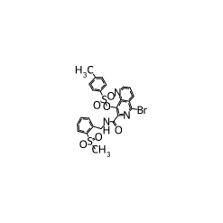 Cc1ccc(S(=O)(=O)Oc2c(C(=O)NCc3ccccc3S(C)(=O)=O)nc(Br)c3cccnc23)cc1